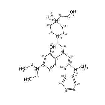 CCN(CC)c1ccc(C(=C\CN2CC[N+](C)(CCO)CC2)/C=C2\Sc3ccccc3N2C)c(O)c1